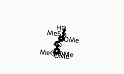 COc1cc(C2CCC(c3cc(OC)c(OCCO)c(SC)c3)O2)cc(OC)c1OC